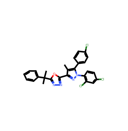 Cc1c(-c2nnc(C(C)(C)c3ccccc3)o2)nn(-c2ccc(Cl)cc2Cl)c1-c1ccc(Cl)cc1